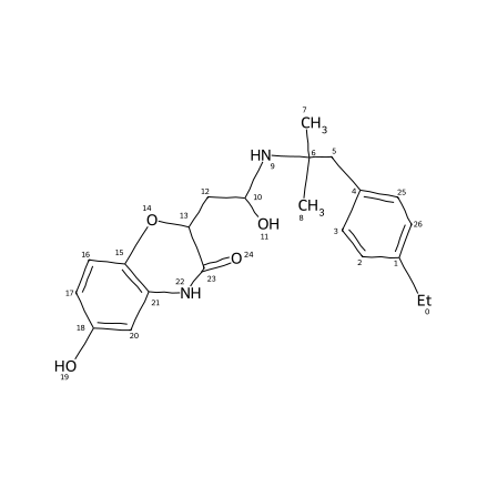 CCc1ccc(CC(C)(C)NC(O)CC2Oc3ccc(O)cc3NC2=O)cc1